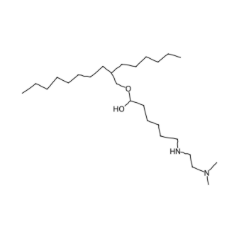 CCCCCCCCC(CCCCCC)COC(O)CCCCCNCCN(C)C